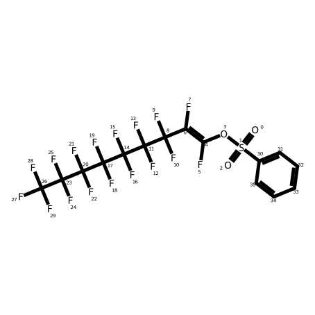 O=S(=O)(OC(F)=C(F)C(F)(F)C(F)(F)C(F)(F)C(F)(F)C(F)(F)C(F)(F)C(F)(F)F)c1ccccc1